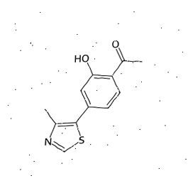 CC(=O)c1ccc(-c2scnc2C)cc1O